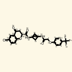 O=C(COc1ccc(C(F)(F)F)nc1)NC12CC(NC(=O)[C@@H]3CC(=O)c4cc(Cl)ccc4O3)(C1)C2